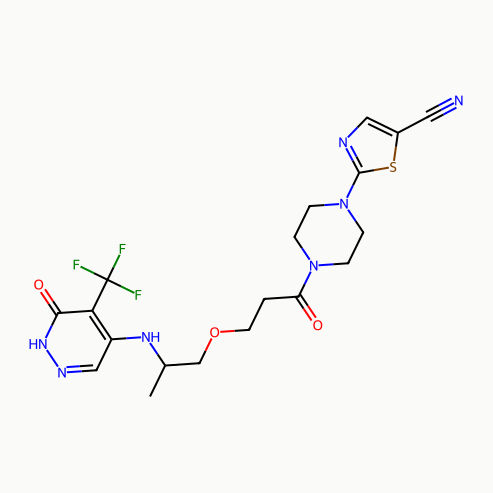 CC(COCCC(=O)N1CCN(c2ncc(C#N)s2)CC1)Nc1cn[nH]c(=O)c1C(F)(F)F